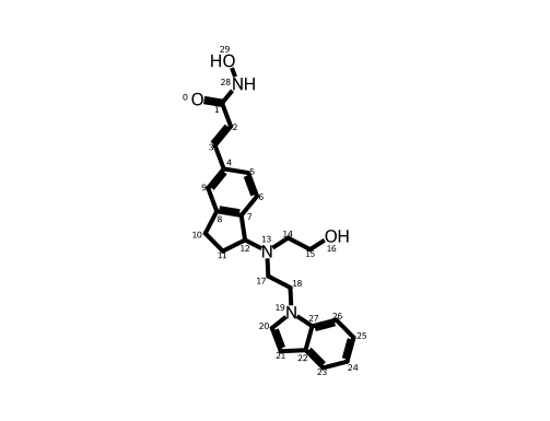 O=C(/C=C/c1ccc2c(c1)CCC2N(CCO)CCn1ccc2ccccc21)NO